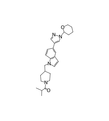 CC(C)C(=O)N1CCC(Cn2ccc3cc(-c4cnn(C5CCCCO5)c4)ccc32)CC1